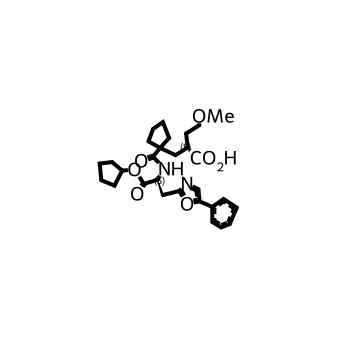 COCC[C@H](CC1(C(=O)N[C@@H](Cc2ncc(-c3ccccc3)o2)C(=O)OC2CCCC2)CCCC1)C(=O)O